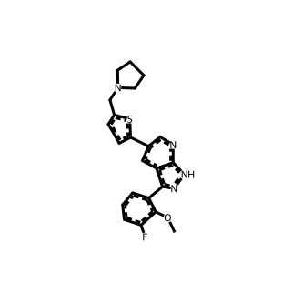 COc1c(F)cccc1-c1n[nH]c2ncc(-c3ccc(CN4CCCC4)s3)cc12